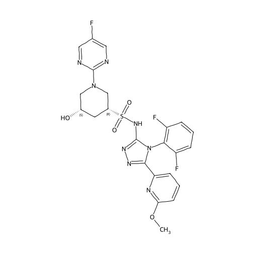 COc1cccc(-c2nnc(NS(=O)(=O)[C@@H]3C[C@H](O)CN(c4ncc(F)cn4)C3)n2-c2c(F)cccc2F)n1